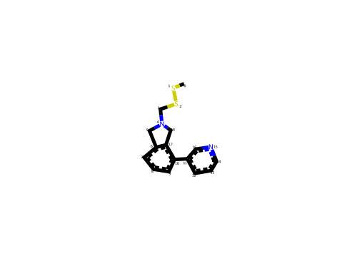 CSSCN1Cc2cccc(-c3cccnc3)c2C1